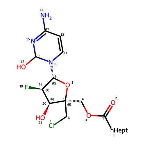 CCCCCCCC(=O)OC[C@@]1(CCl)O[C@@H](N2C=CC(N)=NC2O)[C@H](F)[C@@H]1O